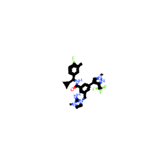 Cc1cc(C(NC(=O)c2cc(Cn3ccn(C)c3=N)cc(-c3cn(C)nc3C(F)(F)F)c2)C2CC2)ccc1F